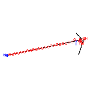 CCCCCCCCCCCC(=O)O[C@@H](COP(=O)(O)OCCNC(=O)CCOCCOCCOCCOCCOCCOCCOCCOCCOCCOCCOCCOCCOCCOCCOCCOCCOCCOCCOCCOCCOCCOCCN=[N+]=[N-])CC(CCCCCCCCCC)C(=O)O